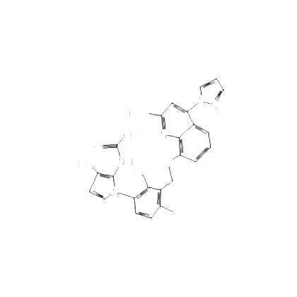 CCCC(=O)Nc1c(C)ccn1-c1ccc(Cl)c(COc2cccc3c(-n4cccn4)cc(C)nc23)c1Cl